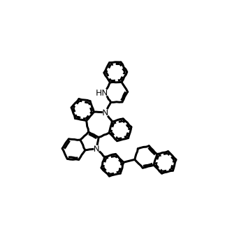 C1=CC2C3=C(c4ccccc4N(C4C=Cc5ccccc5N4)c4ccccc43)N(c3cccc(C4C=c5ccccc5=CC4)c3)C2C=C1